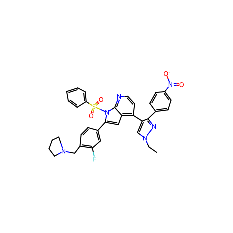 CCn1cc(-c2ccnc3c2cc(-c2ccc(CN4CCCC4)c(F)c2)n3S(=O)(=O)c2ccccc2)c(-c2ccc([N+](=O)[O-])cc2)n1